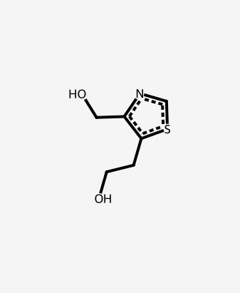 OCCc1scnc1CO